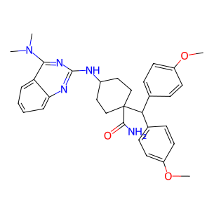 COc1ccc(C(c2ccc(OC)cc2)C2(C(N)=O)CCC(Nc3nc(N(C)C)c4ccccc4n3)CC2)cc1